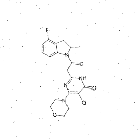 CC1Cc2c(F)cccc2N1C(=O)Cc1nc(N2CCOCC2)c(Cl)c(=O)[nH]1